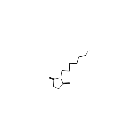 O=C1CCC(=O)N1CCCCCCS